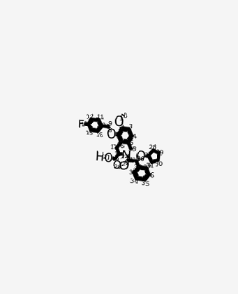 COc1ccc2c(c1OCc1ccc(F)cc1)CC(C(=O)O)N(C(=O)C(OC1CCCC1)c1ccccc1)C2